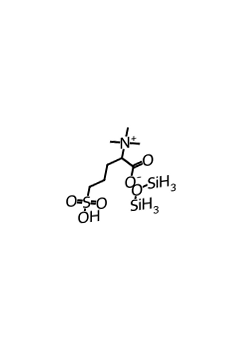 C[N+](C)(C)C(CCCS(=O)(=O)O)C(=O)[O-].[SiH3]O[SiH3]